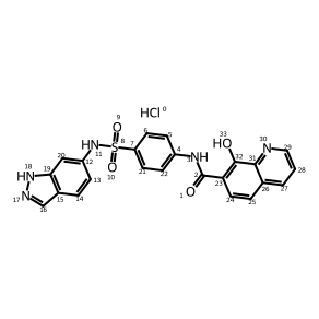 Cl.O=C(Nc1ccc(S(=O)(=O)Nc2ccc3cn[nH]c3c2)cc1)c1ccc2cccnc2c1O